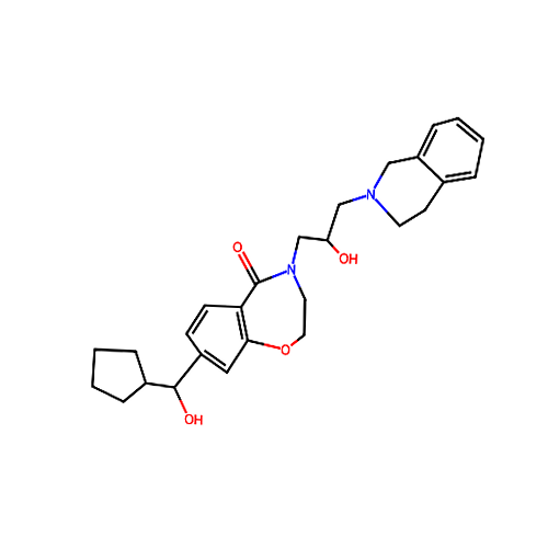 O=C1c2ccc(C(O)C3CCCC3)cc2OCCN1CC(O)CN1CCc2ccccc2C1